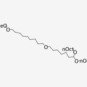 CCCCCCCCOC(CCCCCCOCCCCCCCCCOOC)OCCCCCCCC